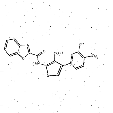 Cc1ccc(-c2csc(NC(=O)c3nc4ccccc4o3)c2C(=O)O)cc1N=O